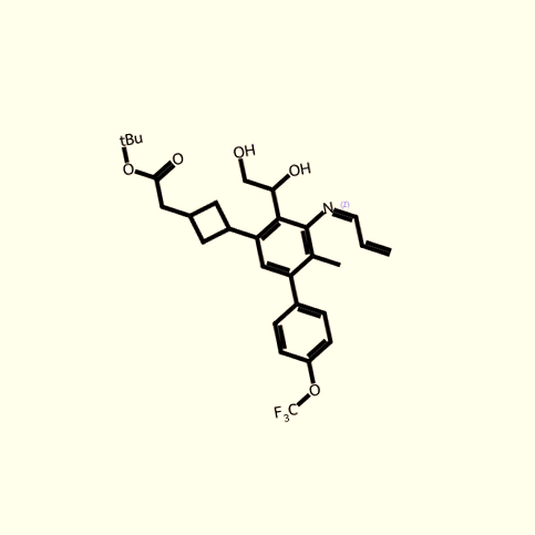 C=C/C=N\c1c(C)c(-c2ccc(OC(F)(F)F)cc2)cc(C2CC(CC(=O)OC(C)(C)C)C2)c1C(O)CO